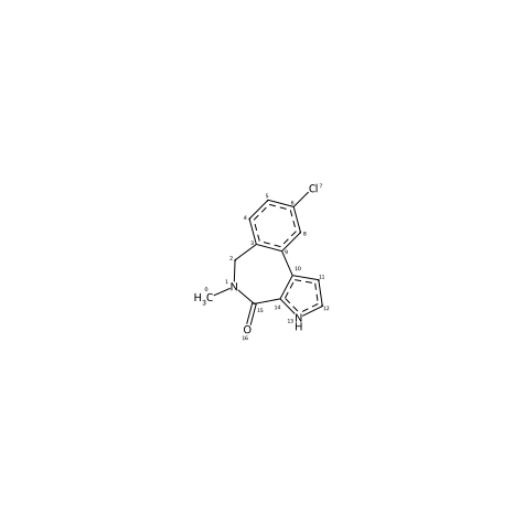 CN1Cc2ccc(Cl)cc2-c2cc[nH]c2C1=O